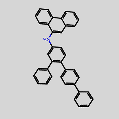 c1ccc(-c2ccc(-c3ccc(Nc4cc5ccccc5c5ccccc45)cc3-c3ccccc3)cc2)cc1